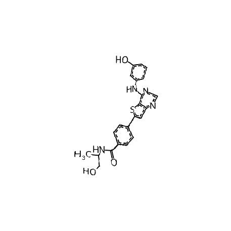 CC(CO)NC(=O)c1ccc(-c2cc3ncnc(Nc4cccc(O)c4)c3s2)cc1